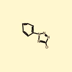 [O]c1nnn(-c2ccccc2)n1